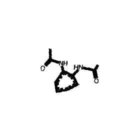 CC(=O)Nc1[c]cccc1NC(C)=O